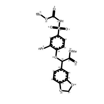 CCCc1cc(S(=O)(=O)NC(=O)OC(C)(C)C)ccc1OC(C(=O)OC)c1ccc2c(c1)OCO2